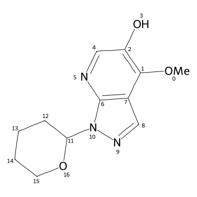 COc1c(O)cnc2c1cnn2C1CCCCO1